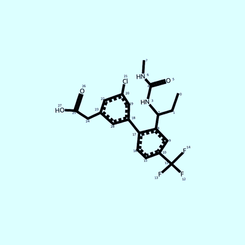 CCC(NC(=O)NC)c1cc(C(F)(F)F)ccc1-c1cc(Cl)cc(CC(=O)O)c1